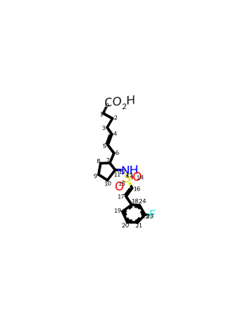 O=C(O)CCCC=CCC1CCCC1NS(=O)(=O)C=Cc1cccc(F)c1